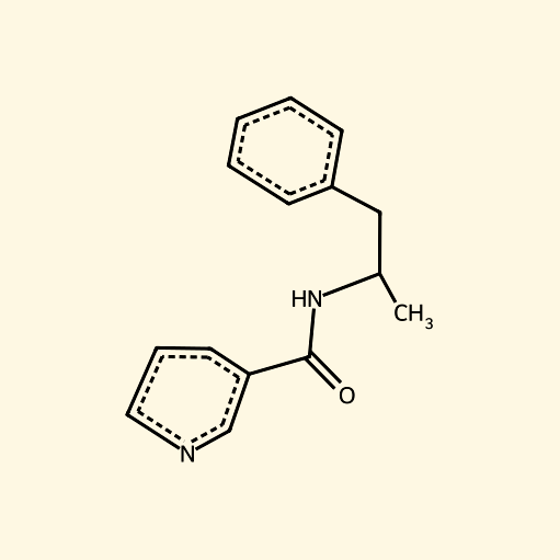 CC(Cc1ccccc1)NC(=O)c1cccnc1